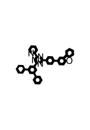 C1=CCCC(c2cc(-c3ccccc3)cc(-c3nc(-c4ccc(-c5ccc6oc7ccccc7c6c5)cc4)nc(-c4ccccn4)n3)c2)=C1